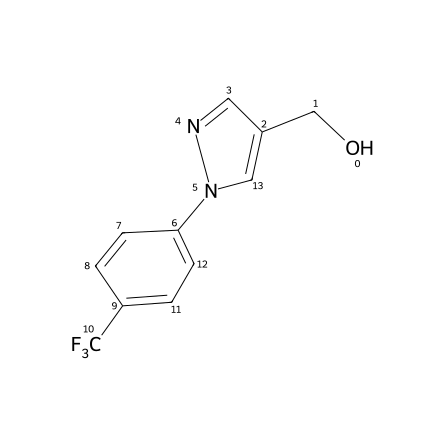 OCc1cnn(-c2ccc(C(F)(F)F)cc2)c1